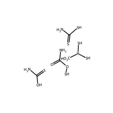 NC(=O)OS.NC(=S)S.NC(O)=S.O=C(O)N(S)S